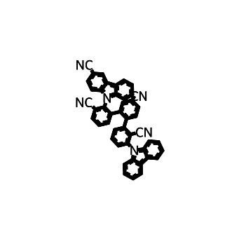 N#Cc1ccc(-c2cccc(-n3c4ccccc4c4ccccc43)c2C#N)c(-c2cccc(C#N)c2-n2c3ccccc3c3cc(C#N)ccc32)c1